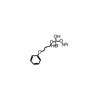 CCCO[PH](O)(O)OCCCOc1ccccc1